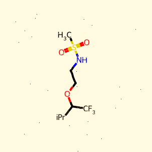 CC(C)C(OCCNS(C)(=O)=O)C(F)(F)F